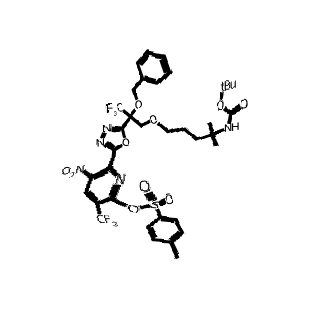 Cc1ccc(S(=O)(=O)Oc2nc(-c3nnc(C(COCCCC(C)(C)NC(=O)OC(C)(C)C)(OCc4ccccc4)C(F)(F)F)o3)c([N+](=O)[O-])cc2C(F)(F)F)cc1